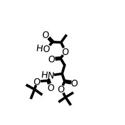 CC(OC(=O)CC(NC(=O)OC(C)(C)C)C(=O)OC(C)(C)C)C(=O)O